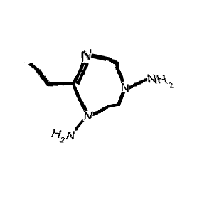 [CH2]CC1=NCN(N)CN1N